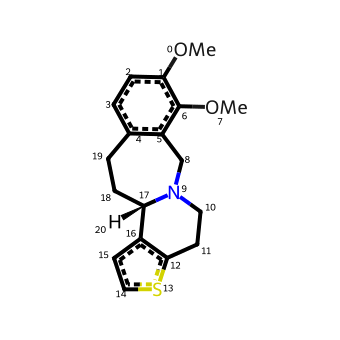 COc1ccc2c(c1OC)CN1CCc3sccc3[C@@H]1CC2